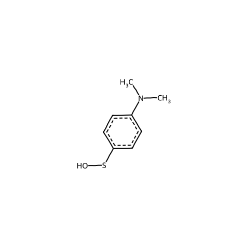 CN(C)c1ccc(SO)cc1